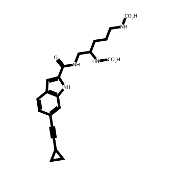 O=C(O)NCCCC(CNC(=O)c1cc2ccc(C#CC3CC3)cc2[nH]1)NC(=O)O